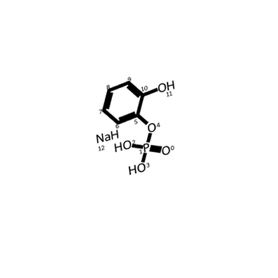 O=P(O)(O)Oc1ccccc1O.[NaH]